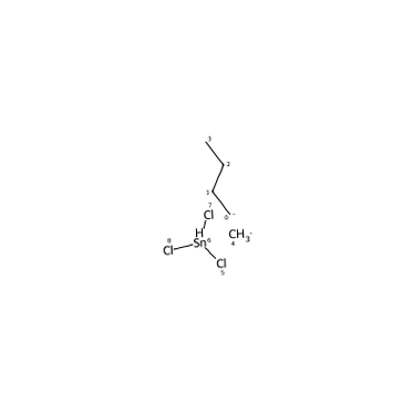 [CH2]CCC.[CH3].[Cl][SnH]([Cl])[Cl]